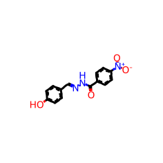 O=C(NN=Cc1ccc(O)cc1)c1ccc([N+](=O)[O-])cc1